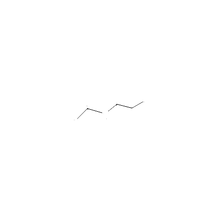 CCC(C)C[CH]OCC(C)C